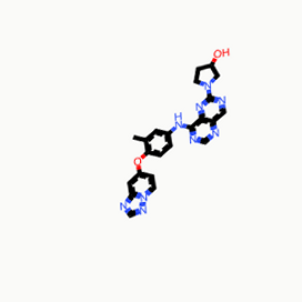 Cc1cc(Nc2ncnc3cnc(N4CCC(O)C4)nc23)ccc1Oc1ccn2ncnc2c1